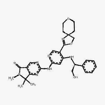 CN1C(=O)c2cnc(Nc3cc(N[C@H](CO)c4ccccc4)c(C4=NC5(CCOCC5)CO4)cn3)nc2C1(C)C